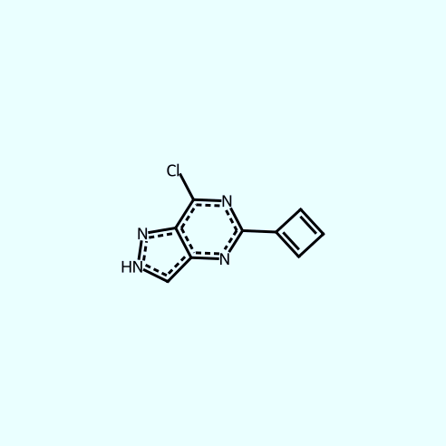 Clc1nc(C2=CC=C2)nc2c[nH]nc12